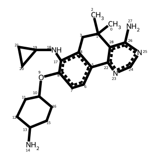 CC1(C)Cc2c(ccc(OC3CCC(N)CC3)c2NC2CC2)-c2ncnc(N)c21